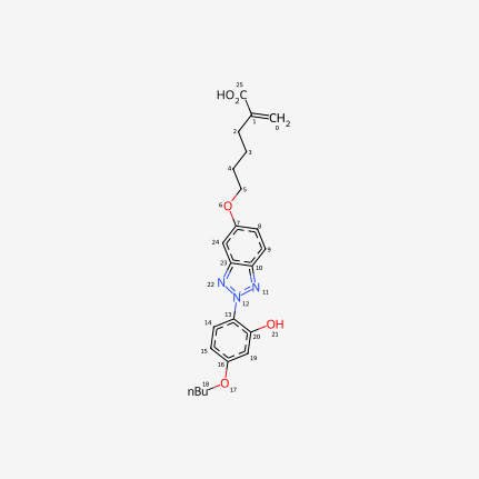 C=C(CCCCOc1ccc2nn(-c3ccc(OCCCC)cc3O)nc2c1)C(=O)O